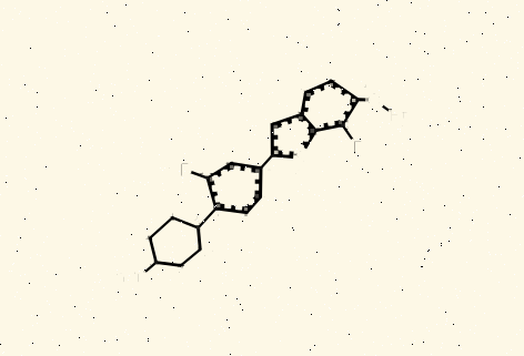 CCCC1CCC(c2ccc(-c3cc4ccc(OCC)c(F)c4s3)cc2F)CC1